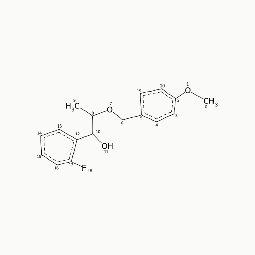 COc1ccc(COC(C)C(O)c2ccccc2F)cc1